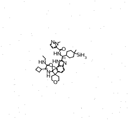 CCNC(=O)[C@H](NC(=O)C1(c2ccc3nc([C@@H](NC(=O)c4ccnn4C)C4CCC(C)([SiH3])CC4)[nH]c3c2)CCOCC1)C1CCC1